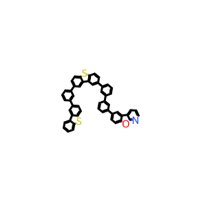 c1cc(-c2cccc(-c3ccc4sc5ccc(-c6cccc(-c7ccc8sc9ccccc9c8c7)c6)cc5c4c3)c2)cc(-c2ccc3oc4ncccc4c3c2)c1